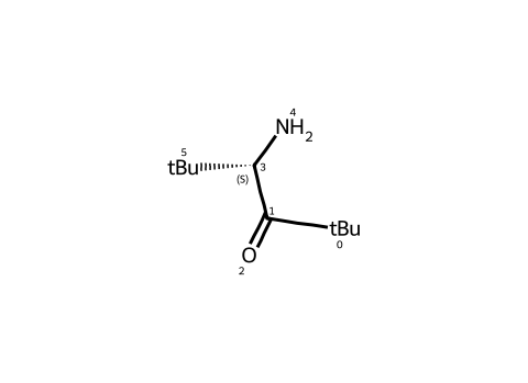 CC(C)(C)C(=O)[C@@H](N)C(C)(C)C